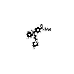 CNC(=O)c1ccc(-c2nc3ccccc3n2CCCN2CCC(F)CC2)cc1